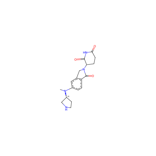 CN(c1ccc2c(c1)CN(C1CCC(=O)NC1=O)C2=O)[C@H]1CCNC1